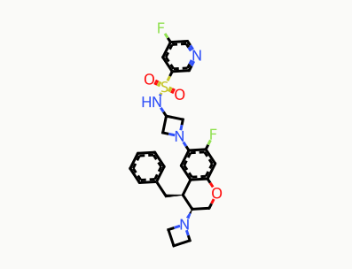 O=S(=O)(NC1CN(c2cc3c(cc2F)OC[C@@H](N2CCC2)[C@H]3Cc2ccccc2)C1)c1cncc(F)c1